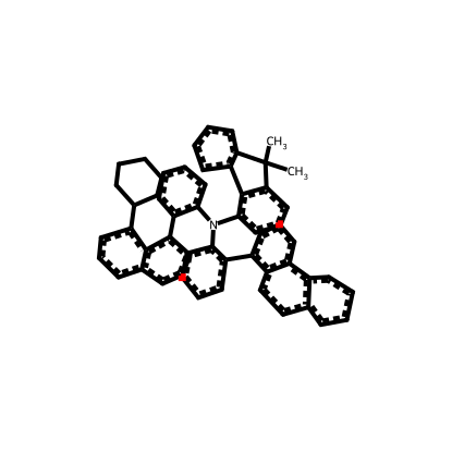 CC1(C)c2ccccc2-c2c(N(c3ccccc3-c3cccc4c3ccc3ccccc34)c3ccccc3-c3cccc4cccc(C5CCCCC5)c34)cccc21